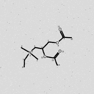 CC[N+](C)(C)CC(COC(C)=O)OC(C)=O